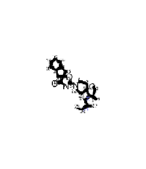 C=C1COC2(CCN(C3=NC(=O)C4(Cc5ccccc5C4)O3)CC2)/C1=C/C(C)=C\C